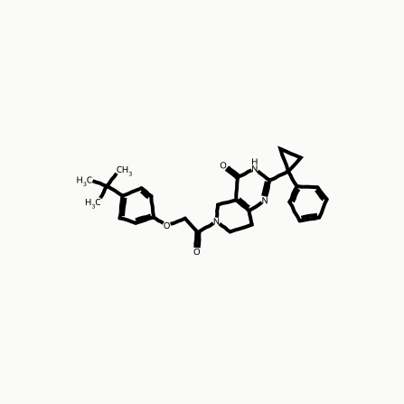 CC(C)(C)c1ccc(OCC(=O)N2CCc3nc(C4(c5ccccc5)CC4)[nH]c(=O)c3C2)cc1